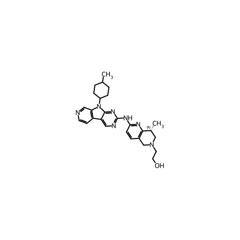 CC1CCC(n2c3cnccc3c3cnc(Nc4ccc5c(n4)[C@H](C)CN(CCO)C5)nc32)CC1